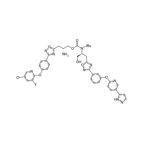 CC(C)(C)N(C(=O)OC[C@H](N)Cc1nc(-c2ccc(Oc3ncc(Cl)cc3F)cc2)no1)[C@H](CO)Cc1nc(-c2cccc(Oc3ccc(-c4ccn[nH]4)cn3)c2)no1